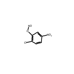 O=NOc1cc([N+](=O)[O-])ccc1Cl